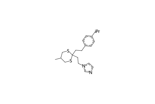 CC1CSC(CCc2ccc(C(C)C)cc2)(CCn2ccnc2)SC1